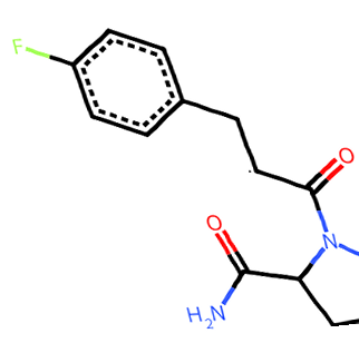 NC(=O)C1CCCN1C(=O)[CH]Cc1ccc(F)cc1